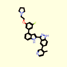 Cc1ccncc1-c1ccc2[nH]nc(-c3cc4c(-c5cc(F)cc(OCCN6CCCC6)c5)cccc4[nH]3)c2c1